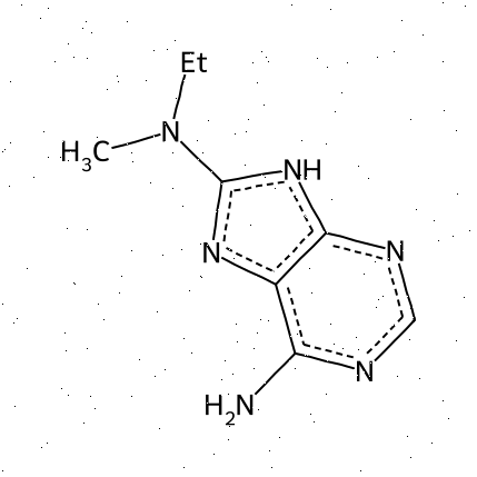 CCN(C)c1nc2c(N)ncnc2[nH]1